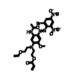 C=COCCN(CCOC(=O)C=C)c1cc(NC(C)=O)c(/N=N/c2c(Br)cc([N+](=O)[O-])cc2[N+](=O)[O-])cc1OC